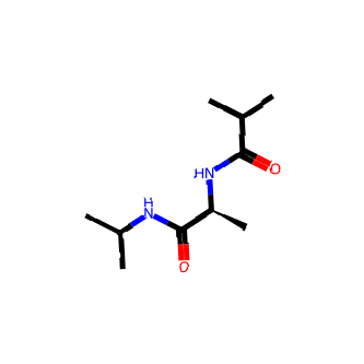 CC(C)NC(=O)[C@H](C)NC(=O)C(C)C